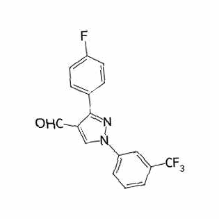 O=Cc1cn(-c2cccc(C(F)(F)F)c2)nc1-c1ccc(F)cc1